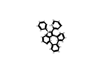 c1ccc(-n2c(-c3ccccn3)c3c4c(cccc42)-c2ccccc2-c2ccccc2-3)cc1